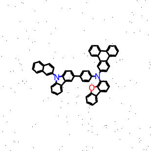 c1ccc2cc(-n3c4ccccc4c4cc(-c5ccc(N(c6ccc7c8ccccc8c8ccccc8c7c6)c6cccc7c6oc6ccccc67)cc5)ccc43)ccc2c1